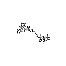 CCC(C)Oc1cc(C(=O)NC2CCN(CCOCCOCCNc3cccc4c3C(=O)N(C3CCC(=O)NC3=O)C4=O)CC2)c(F)cc1Nc1ncc2c(n1)N(C1CCCC1)CC(F)(F)C(=O)N2C